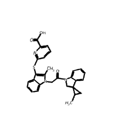 Cc1c(Sc2cccc(C(=O)O)n2)c2ccccc2n1CC(=O)N1CC2(CC2C)c2ccccc21